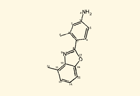 Cc1cc(N)ccc1-c1nc2c(C)cccc2o1